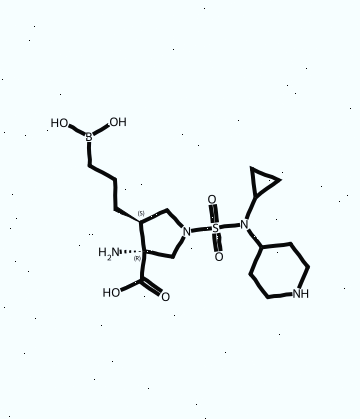 N[C@@]1(C(=O)O)CN(S(=O)(=O)N(C2CCNCC2)C2CC2)C[C@@H]1CCCB(O)O